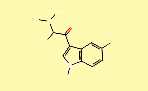 CB(C#N)C(C)C(=O)c1cn(C)c2ccc(Br)cc12